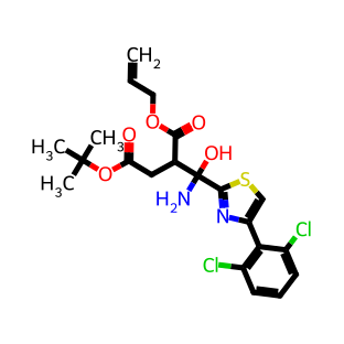 C=CCOC(=O)C(CC(=O)OC(C)(C)C)C(N)(O)c1nc(-c2c(Cl)cccc2Cl)cs1